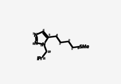 CSCCCCc1cnnn1CC(C)C